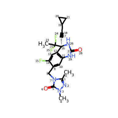 Cc1nn(C)c(=O)n1Cc1cc2c(cc1F)[C@@](C#CC1CC1)(C(C)(F)F)NC(=O)N2